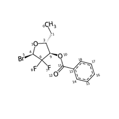 CC[C@H]1O[C@H](Br)C(F)(F)[C@@H]1OC(=O)c1ccccc1